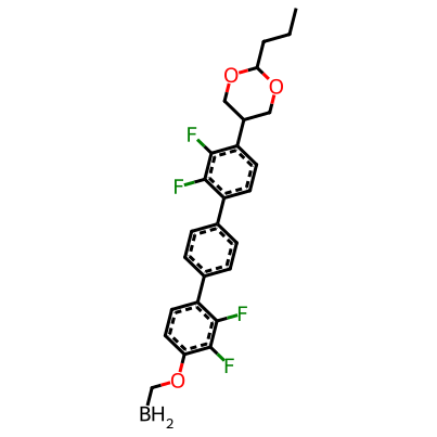 BCOc1ccc(-c2ccc(-c3ccc(C4COC(CCC)OC4)c(F)c3F)cc2)c(F)c1F